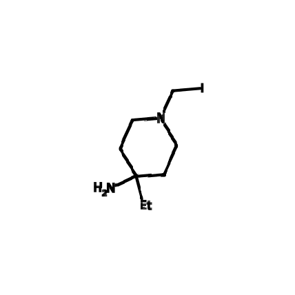 CCC1(N)CCN(CI)CC1